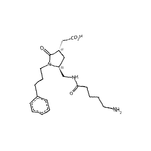 NCCCCC(=O)NC[C@@H]1C[C@@H](CC(=O)O)C(=O)N1CCCc1ccccc1